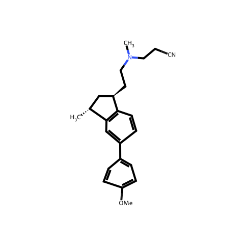 COc1ccc(-c2ccc3c(c2)[C@H](C)C[C@H]3CCN(C)CCC#N)cc1